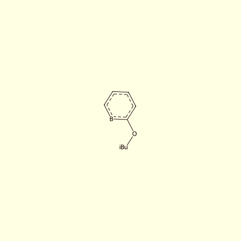 CCC(C)Oc1bcccc1